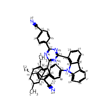 CC1C[C@H]2C[C@@H](C)CC(c3ccc(-n4c5ccccc5c5cccc(-c6nc(-c7ccc(C#N)cc7)nc(-c7cccc(C#N)c7)n6)c54)cc3)(C1)C2